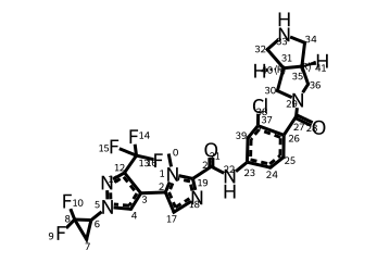 Cn1c(-c2cn(C3CC3(F)F)nc2C(F)(F)F)cnc1C(=O)Nc1ccc(C(=O)N2C[C@H]3CNC[C@@H]3C2)c(Cl)c1